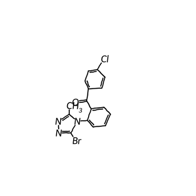 Cc1nnc(Br)n1-c1ccccc1C(=O)c1ccc(Cl)cc1